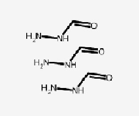 NNC=O.NNC=O.NNC=O